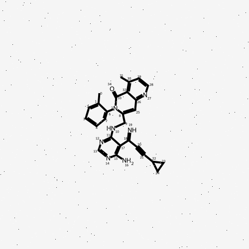 Cc1ccccc1-n1c(CNc2ncnc(N)c2C(=N)C#CC2CC2)cc2nccc(C)c2c1=O